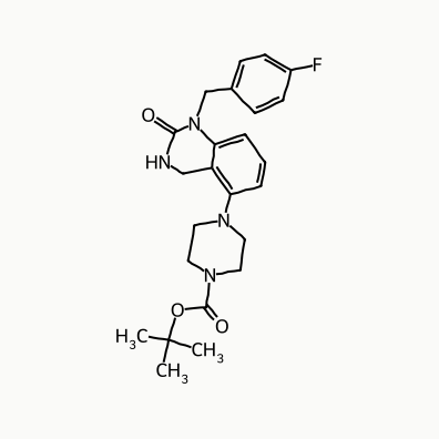 CC(C)(C)OC(=O)N1CCN(c2cccc3c2CNC(=O)N3Cc2ccc(F)cc2)CC1